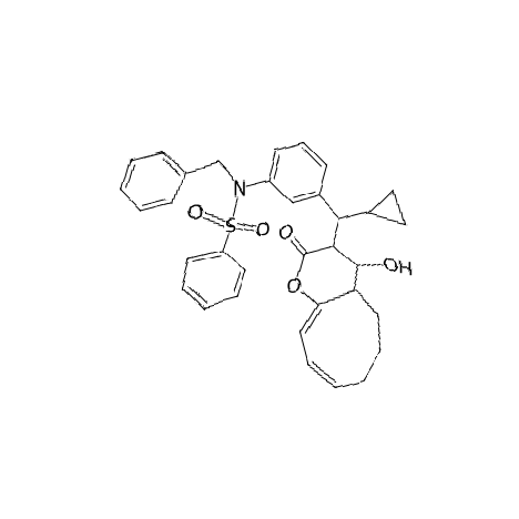 O=C1OC2=CC=CCCCC2C(O)C1C(c1cccc(N(Cc2ccccc2)S(=O)(=O)c2ccccc2)c1)C1CC1